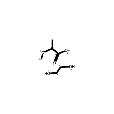 COC(C)C(=O)O.OCCO